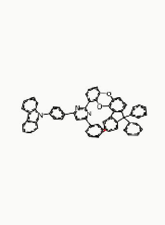 c1ccc(-c2cc(-c3ccc(-n4c5ccccc5c5ccccc54)cc3)nc(-c3cccc4c3Oc3c(ccc5c3-c3ccccc3C5(c3ccccc3)c3ccccc3)O4)n2)cc1